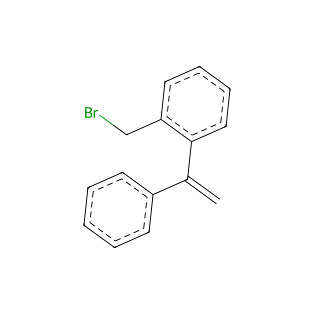 C=C(c1ccccc1)c1ccccc1CBr